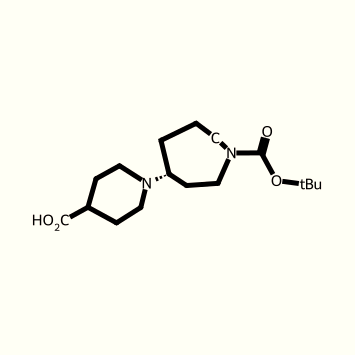 CC(C)(C)OC(=O)N1CCC[C@@H](N2CCC(C(=O)O)CC2)CC1